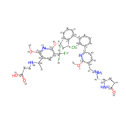 COc1nc(-c2cccc(-c3cccc4c3CC[C@@H]4Oc3nc(OC)c(C(C)NCCC(=O)O)cc3C(F)(F)F)c2Cl)ccc1CNC[C@@H]1CCC(=O)N1